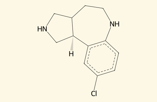 Clc1ccc2c(c1)[C@H]1CNCC1CCN2